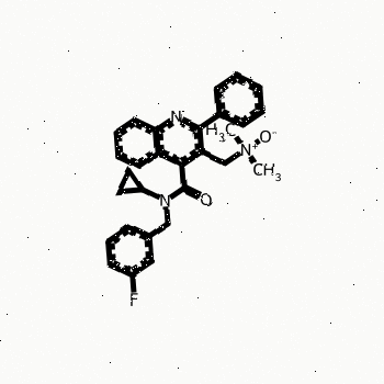 C[N+](C)([O-])Cc1c(-c2ccccc2)nc2ccccc2c1C(=O)N(Cc1cccc(F)c1)C1CC1